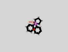 OP1(c2ccccc2)(c2ccccc2)CCCC1